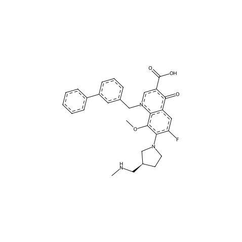 CNC[C@@H]1CCN(c2c(F)cc3c(=O)c(C(=O)O)cn(Cc4cccc(-c5ccccc5)c4)c3c2OC)C1